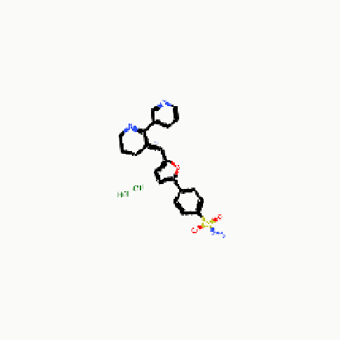 Cl.Cl.NS(=O)(=O)c1ccc(-c2ccc(/C=C3\CCCN=C3c3cccnc3)o2)cc1